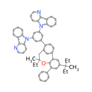 CCC1(C)Cc2cc(ccc2-c2cc(-n3c4ccccc4c4ncccc43)cc(-n3c4ccccc4c4ncccc43)c2)-c2cc(C(C)(CC)CC)cc(-c3ccccc3)c2O1